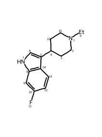 [CH2]CN1CCC(c2c[nH]c3cc(F)ccc23)CC1